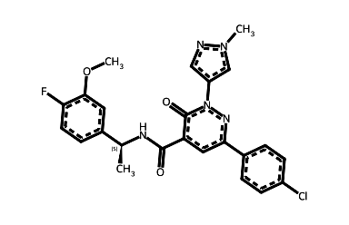 COc1cc([C@H](C)NC(=O)c2cc(-c3ccc(Cl)cc3)nn(-c3cnn(C)c3)c2=O)ccc1F